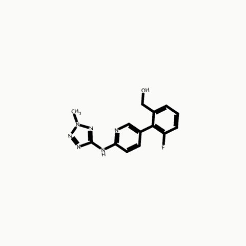 Cn1nnc(Nc2ccc(-c3c(F)cccc3CO)cn2)n1